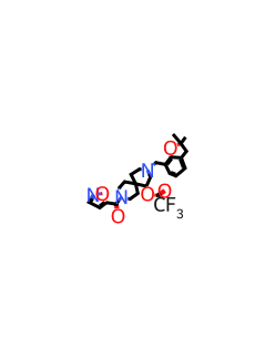 CC1(C)Cc2cccc(CN3CCC4(CCN(C(=O)c5ccno5)CC4)C(OC(=O)C(F)(F)F)C3)c2O1